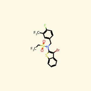 O=S(=O)(CC(F)(F)F)N(Cc1ccc(F)c(C(F)(F)F)c1)c1sc2ccccc2c1Br